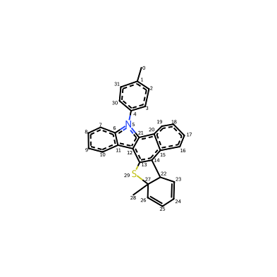 Cc1ccc(-n2c3ccccc3c3c4c(c5ccccc5c32)C2C=CC=CC2(C)S4)cc1